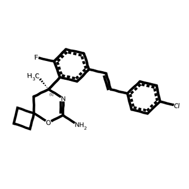 C[C@@]1(c2cc(C=Cc3ccc(Cl)cc3)ccc2F)CC2(CCC2)OC(N)=N1